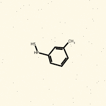 Cc1cccc(PS)c1